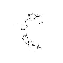 CC(=O)Nc1ncc(CN2C[C@H](Oc3ccnc4nc(C(F)(F)F)nn34)C[C@@H]2C)s1